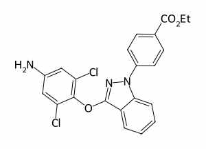 CCOC(=O)c1ccc(-n2nc(Oc3c(Cl)cc(N)cc3Cl)c3ccccc32)cc1